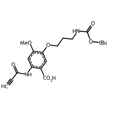 C#CC(=O)Nc1cc(OC)c(OCCCNC(=O)OC(C)(C)C)cc1C(=O)O